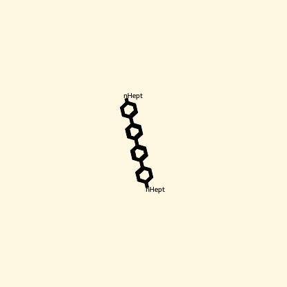 CCCCCCCC1CC=C(c2ccc(-c3ccc(C4=CCC(CCCCCCC)CC4)cc3)cc2)CC1